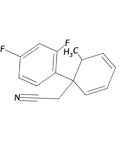 CC1C=CC=CC1(CC#N)c1ccc(F)cc1F